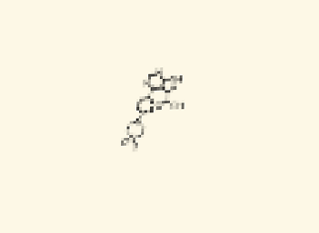 O=C(O)c1c[nH]c2ncnc(-c3ccc(N4CCS(=O)(=O)CC4)cc3)c12